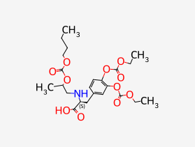 CCCCOC(=O)OC(C)CN[C@@H](Cc1ccc(OC(=O)OCC)c(OC(=O)OCC)c1)C(=O)O